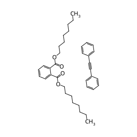 C(#Cc1ccccc1)c1ccccc1.CCCCCCCCOC(=O)c1ccccc1C(=O)OCCCCCCCC